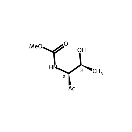 COC(=O)N[C@H](C(C)=O)[C@H](C)O